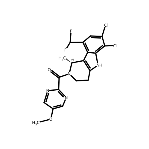 COc1cnc(C(=O)N2CCc3[nH]c4c(Cl)c(Cl)cc(C(F)F)c4c3[C@H]2C)nc1